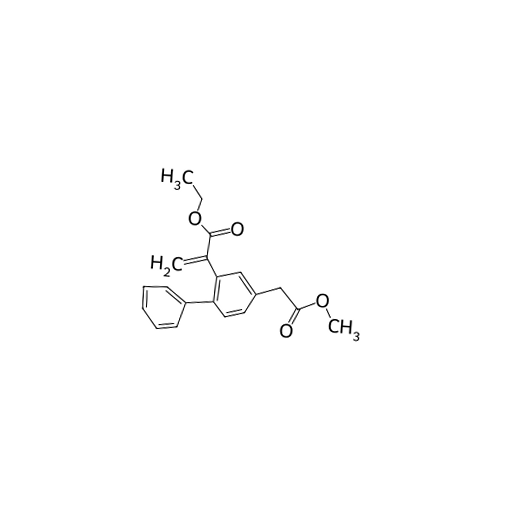 C=C(C(=O)OCC)c1cc(CC(=O)OC)ccc1-c1ccccc1